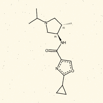 CC(C)N1C[C@H](NC(=O)c2coc(C3CC3)n2)[C@@H](C)C1